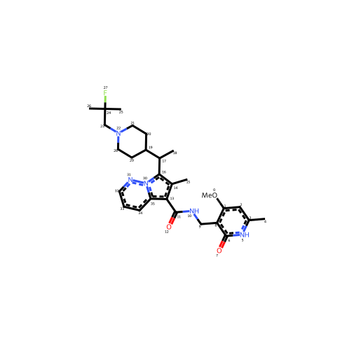 COc1cc(C)[nH]c(=O)c1CNC(=O)c1c(C)c(C(C)C2CCN(CC(C)(C)F)CC2)n2ncccc12